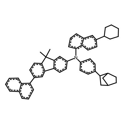 CC1(C)c2ccc(-c3cccc4ccccc34)cc2-c2ccc(N(c3ccc(C4CC5CCC4C5)cc3)c3cccc4cc(C5CCCCC5)ccc34)cc21